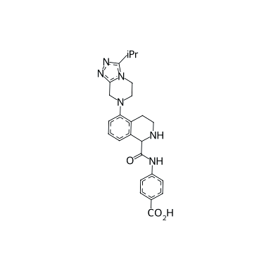 CC(C)c1nnc2n1CCN(c1cccc3c1CCNC3C(=O)Nc1ccc(C(=O)O)cc1)C2